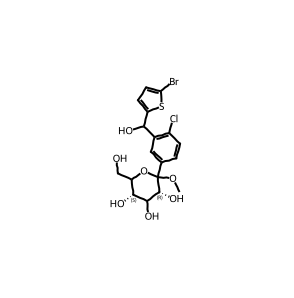 COC1(c2ccc(Cl)c(C(O)c3ccc(Br)s3)c2)OC(CO)[C@@H](O)C(O)[C@H]1O